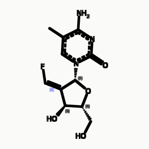 Cc1cn([C@@H]2O[C@H](CO)[C@@H](O)/C2=C/F)c(=O)nc1N